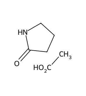 CC(=O)O.O=C1CCCN1